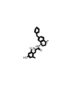 Cc1cc(O)cc(C)c1C[C@H](N)C(=O)N[C@@H]1CC[C@H](C)c2ccc(Cc3ccccc3)cc21